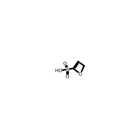 O=S(=O)(O)C1=CCO1